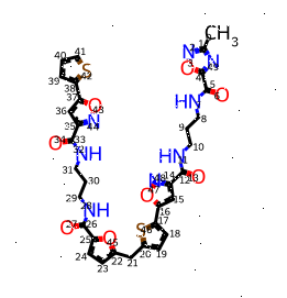 Cc1noc(C(=O)NCCCNC(=O)c2cc(-c3ccc(Cc4ccc(C(=O)NCCCNC(=O)c5cc(-c6cccs6)on5)o4)s3)on2)n1